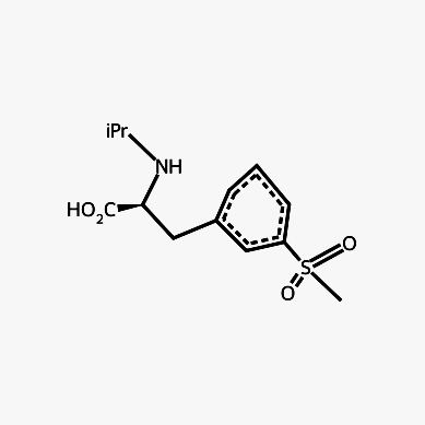 CC(C)N[C@@H](Cc1cccc(S(C)(=O)=O)c1)C(=O)O